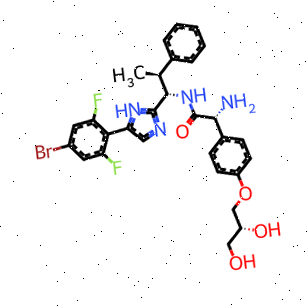 C[C@@H](c1ccccc1)[C@H](NC(=O)[C@H](N)c1ccc(OC[C@H](O)CO)cc1)c1ncc(-c2c(F)cc(Br)cc2F)[nH]1